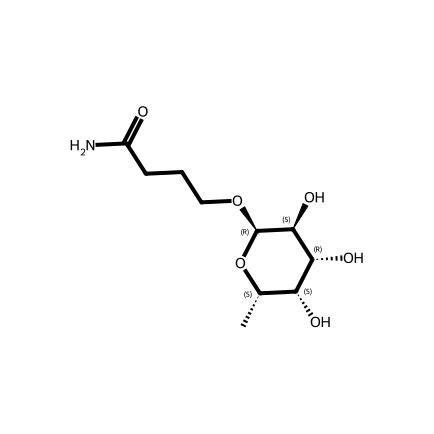 C[C@@H]1O[C@@H](OCCCC(N)=O)[C@@H](O)[C@H](O)[C@@H]1O